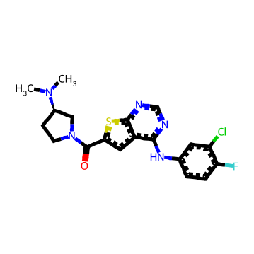 CN(C)[C@@H]1CCN(C(=O)c2cc3c(Nc4ccc(F)c(Cl)c4)ncnc3s2)C1